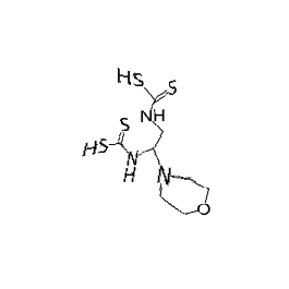 S=C(S)NCC(NC(=S)S)N1CCOCC1